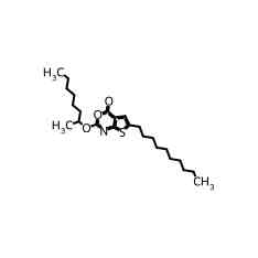 CCCCCCCCCCc1cc2c(=O)oc(OC(C)CCCCCC)nc2s1